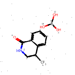 O=C1NCC(C(F)(F)F)c2ccccc21.OB(O)O